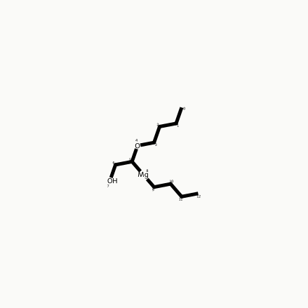 CCCCO[CH](CO)[Mg][CH2]CCC